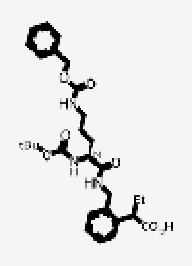 CCC(C(=O)O)c1ccccc1CNC(=O)[C@H](CCCNC(=O)OCc1ccccc1)NC(=O)OC(C)(C)C